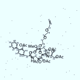 C#CCOCCOCCO[C@]1(C(=O)OC)C[C@H](OC(C)=O)[C@@H](NC(=O)COC(C)=O)[C@H]([C@H](OC(C)=O)[C@@H](CNC(=O)Cc2ccc(-c3ccccc3)c(OC(C)=O)c2)OC(C)=O)O1